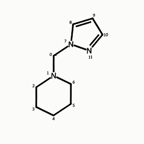 [CH](N1CCCCC1)n1cccn1